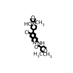 CC1(C)CC(C(=O)Nc2cc3cc(C4CCN(C5(C)COCC5O)CC4)c(Cl)cc3cn2)CCO1